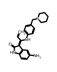 C=CC(Nc1ccc(CN2CCCCC2)cc1)=C1C(=O)Nc2ccc(N)cc21